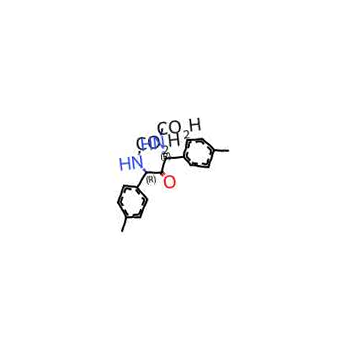 Cc1ccc([C@@H](NC(=O)O)C(=O)[C@H](NC(=O)O)c2ccc(C)cc2)cc1